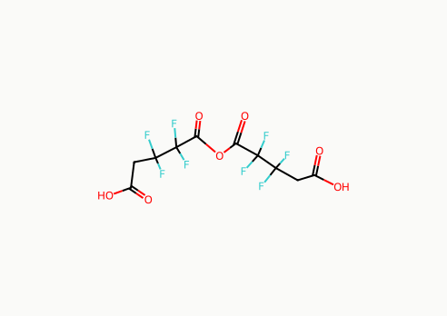 O=C(O)CC(F)(F)C(F)(F)C(=O)OC(=O)C(F)(F)C(F)(F)CC(=O)O